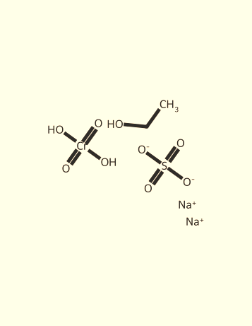 CCO.O=S(=O)([O-])[O-].[Na+].[Na+].[O]=[Cr](=[O])([OH])[OH]